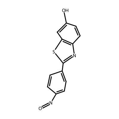 O=Nc1ccc(-c2nc3ccc(O)cc3s2)cc1